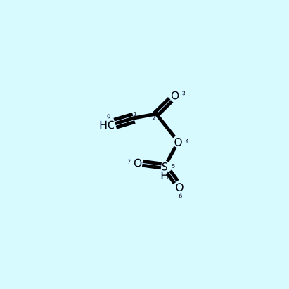 C#CC(=O)O[SH](=O)=O